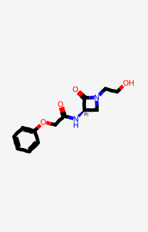 O=C(COc1ccccc1)N[C@@H]1CN(CCO)C1=O